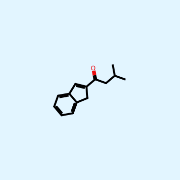 CC(C)CC(=O)C1=Cc2ccccc2C1